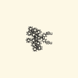 CC(C)(C)c1ccc2c(c1)c1cc(C(C)(C)C)ccc1n2-c1cc2c3c(c1)N(c1ccccc1)c1cc([Si](c4ccccc4)(c4ccccc4)c4ccccc4)ccc1B3c1cc(-c3ccccc3)ccc1N2c1cccc([Si](c2ccccc2)(c2ccccc2)c2ccccc2)c1